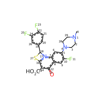 CN1CCN(c2cc3c(cc2F)c(=O)c(C(=O)O)c2n3C(c3ccc(F)c(F)c3)S2)CC1